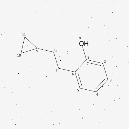 Oc1ccccc1CCC1CC1